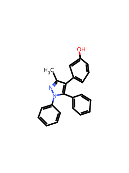 Cc1nn(-c2ccccc2)c(-c2ccccc2)c1-c1cccc(O)c1